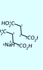 O=C(O)CCC(=O)O.O=C(O)CCC(=O)O.[NaH]